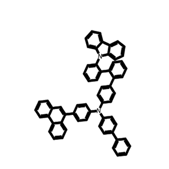 c1ccc(-c2ccc(N(c3ccc(-c4ccccc4-c4ccccc4-n4c5ccccc5c5ccccc54)cc3)c3ccc(-c4cc5ccccc5c5ccccc45)cc3)cc2)cc1